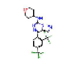 FC(F)(F)c1ccc(-c2nnc(NC3CCOCC3)n3cncc23)c(C(F)(F)F)c1